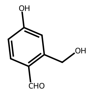 O=Cc1ccc(O)cc1CO